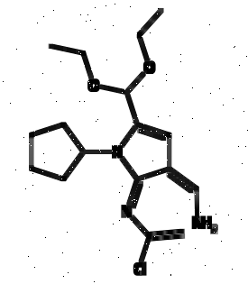 C=C(Cl)/N=C1\C(=C/N)C=C(C(OCC)OCC)N1C1CCCC1